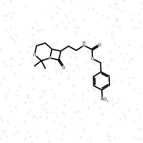 CC1(C)OCCC2C(CCNC(=O)OCc3ccc([N+](=O)[O-])cc3)C(=O)N21